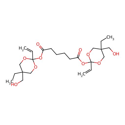 C=CC1(OC(=O)CCCCC(=O)OC2(C=C)OCC(CC)(CO)CO2)OCC(CC)(CO)CO1